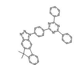 CC1(C)c2ccccc2-c2cc3c(cc21)nnn3-c1ccc(-c2nc(-c3ccccc3)nc(-c3ccccc3)n2)cc1